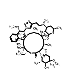 CC[C@H]1OC(=O)[C@H](C)[C@@H](O[C@H]2C[C@@](C)(OC)[C@@H](O)[C@H](C)O2)[C@H](C)[C@@H](O[C@@H]2O[C@H](C)C[C@H](N(C)CCc3cn([C@H](CF)[C@H](OC)c4ccccc4)nn3)[C@H]2O)[C@](C)(O)C[C@@H](C)CN(C)[C@H](C)[C@@H](O)[C@]1(C)O